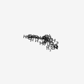 Cc1ncsc1-c1ccc([C@@H](C)NC(=O)[C@H]2C[C@H](O)CN2C(=O)[C@H](NC(=O)CCCCNC(=O)CC(=O)Nc2cccc(S)c2Cl)C(C)(C)C)cc1